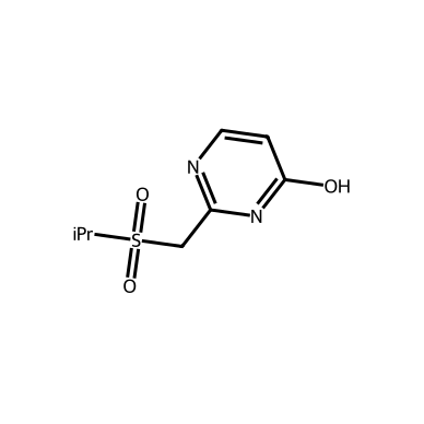 CC(C)S(=O)(=O)Cc1nccc(O)n1